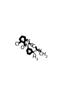 C=NCCCCc1nc2cccc(Cl)c2c(=O)n1-c1cccc(C)c1